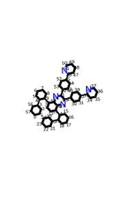 c1ccc(-c2ccccc2-c2ccc(-c3ccccc3-c3ccccc3)c3nc(-c4ccc(-c5ccccn5)cc4)c(-c4ccc(-c5ccccn5)cc4)nc23)cc1